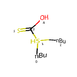 CCCC[SH](CCCC)C(O)=S